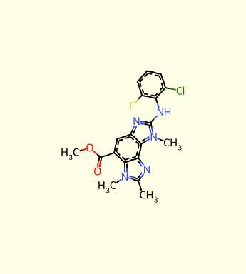 COC(=O)c1cc2nc(Nc3c(F)cccc3Cl)n(C)c2c2nc(C)n(C)c12